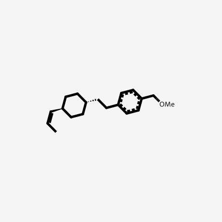 C/C=C\[C@H]1CC[C@H](CCc2ccc(COC)cc2)CC1